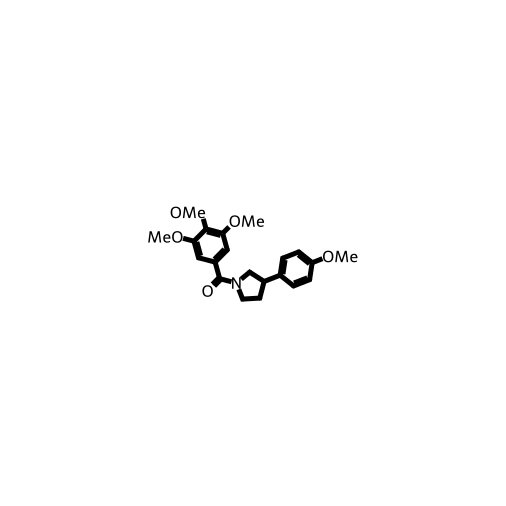 COc1ccc(C2CCN(C(=O)c3cc(OC)c(OC)c(OC)c3)C2)cc1